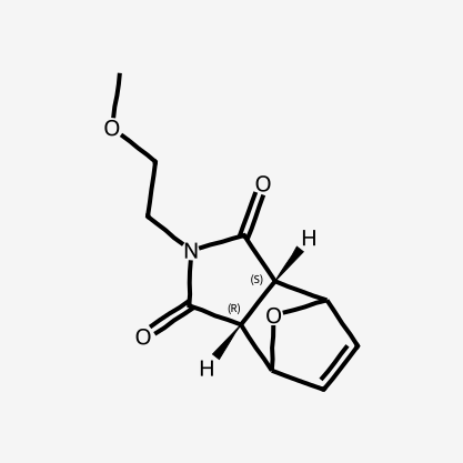 COCCN1C(=O)[C@@H]2C3C=CC(O3)[C@@H]2C1=O